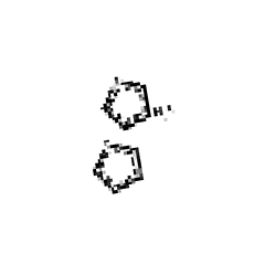 S.c1ccsc1.c1ccsc1